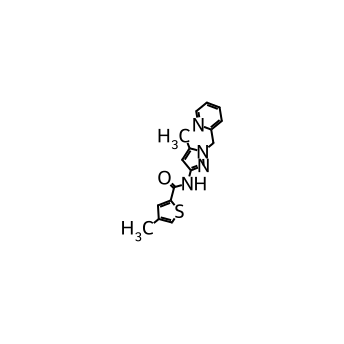 Cc1csc(C(=O)Nc2cc(C)n(Cc3ccccn3)n2)c1